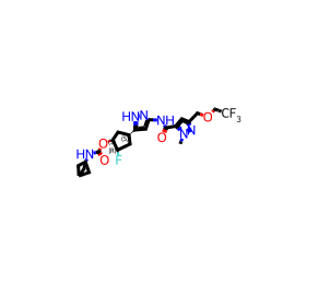 Cn1nc(COCC(F)(F)F)cc1C(=O)Nc1cc([C@@H]2C[C@@H](F)[C@@H](OC(=O)NC34CC(C3)C4)C2)[nH]n1